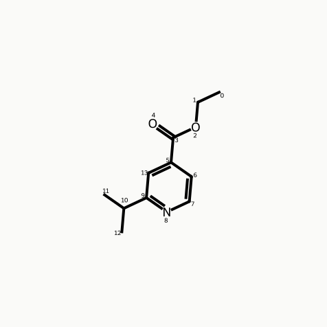 CCOC(=O)c1ccnc(C(C)C)c1